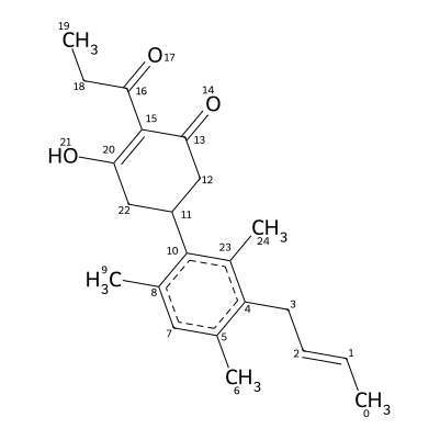 C/C=C/Cc1c(C)cc(C)c(C2CC(=O)C(C(=O)CC)=C(O)C2)c1C